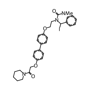 CNC(=O)N(CCOc1ccc(-c2ccc(OCC(=O)N3CCCCC3)cc2)cc1)C(I)c1ccccc1